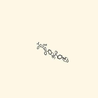 C=C(C)C(=O)OCC(O)COC(=O)c1ccc(CC(CC)(C(=O)c2ccc(N3CCOCC3)cc2)N(C)C)cc1